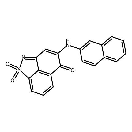 O=C1C(Nc2ccc3ccccc3c2)=CC2=NS(=O)(=O)c3cccc1c32